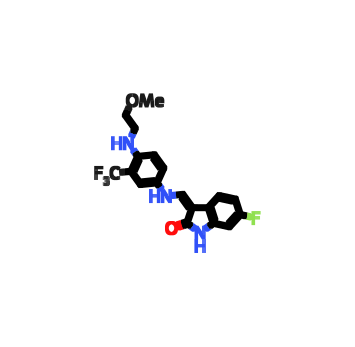 COCCNc1ccc(NC=C2C(=O)Nc3cc(F)ccc32)cc1C(F)(F)F